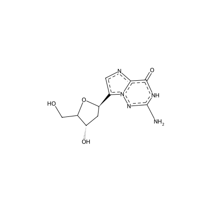 Nc1nn2c([C@H]3C[C@H](O)C(CO)O3)cnc2c(=O)[nH]1